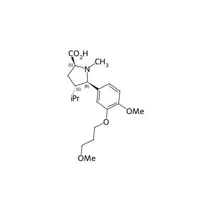 COCCCOc1cc([C@H]2[C@H](C(C)C)C[C@@H](C(=O)O)N2C)ccc1OC